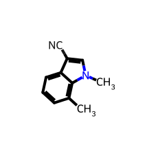 Cc1cccc2c(C#N)cn(C)c12